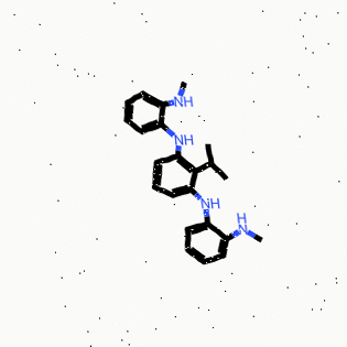 CNc1ccccc1Nc1cccc(Nc2ccccc2NC)c1C(C)C